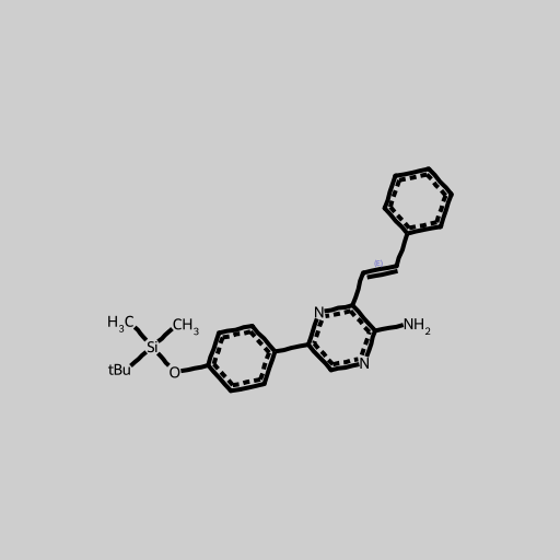 CC(C)(C)[Si](C)(C)Oc1ccc(-c2cnc(N)c(/C=C/c3ccccc3)n2)cc1